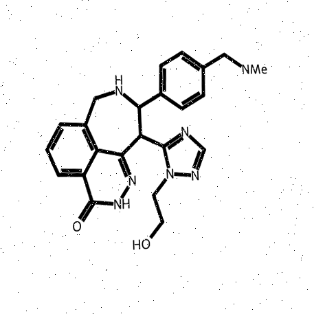 CNCc1ccc(C2NCc3cccc4c(=O)[nH]nc(c34)C2c2ncnn2CCO)cc1